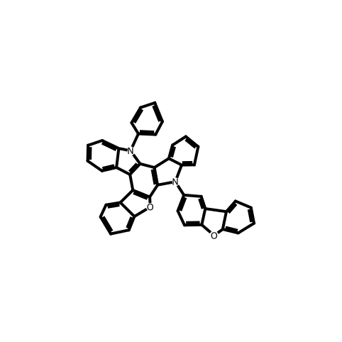 c1ccc(-n2c3ccccc3c3c4c5ccccc5oc4c4c(c5ccccc5n4-c4ccc5oc6ccccc6c5c4)c32)cc1